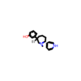 C1=CC=CNC=C1.CCC1(c2cccc(O)c2)CCCCN(C)C1